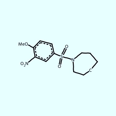 COc1ccc(S(=O)(=O)N2CCCCCC2)cc1[N+](=O)[O-]